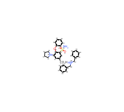 NS(=O)(=O)c1cc(C(=O)O)cc(N2CCCC2)c1Oc1ccccc1.c1ccc(CNCc2ccccc2)cc1